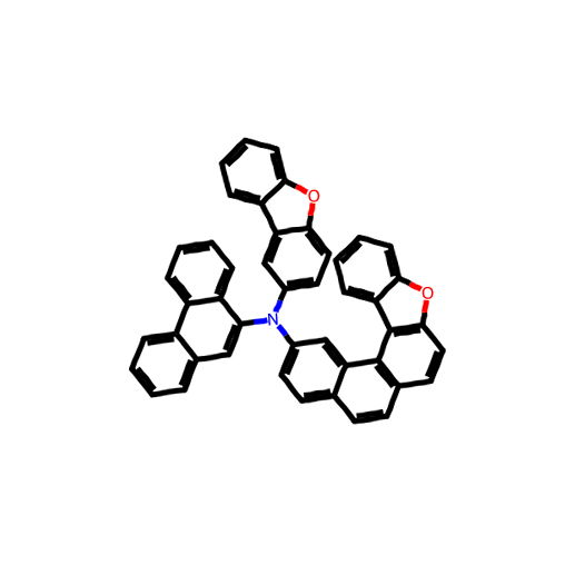 c1ccc2c(c1)cc(N(c1ccc3oc4ccccc4c3c1)c1ccc3ccc4ccc5oc6ccccc6c5c4c3c1)c1ccccc12